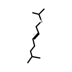 CC(C)CC/C=C/CSC(C)C